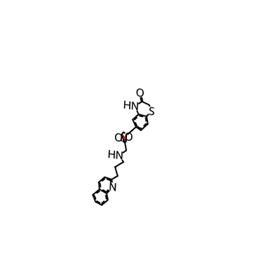 O=C1CSc2ccc(N3CC4(CNCCCc5ccc6ccccc6n5)OC3O4)cc2N1